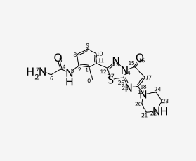 Cc1c(NC(=O)CN)cccc1-c1nn2c(=O)cc(N3CCNCC3)nc2s1